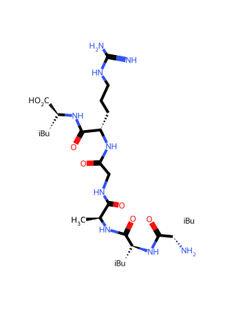 CC[C@H](C)[C@H](N)C(=O)N[C@H](C(=O)N[C@@H](C)C(=O)NCC(=O)N[C@@H](CCCNC(=N)N)C(=O)N[C@H](C(=O)O)[C@@H](C)CC)[C@@H](C)CC